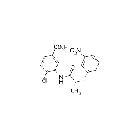 CC(Cc1cccc([N+](=O)[O-])c1)C(=O)Nc1cc(C(=O)O)ccc1Cl